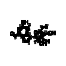 C[C@]1(O)[C@H](n2cnc3c(C=O)nc(N)nc32)O[C@]2(CF)C(O)[C@]12O